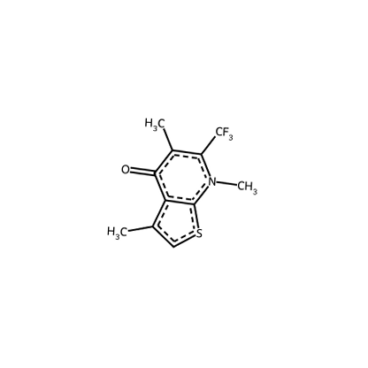 Cc1c(C(F)(F)F)n(C)c2scc(C)c2c1=O